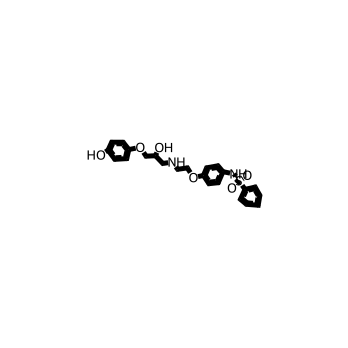 O=S(=O)(Nc1ccc(OCCNCC(O)COc2ccc(O)cc2)cc1)c1ccccc1